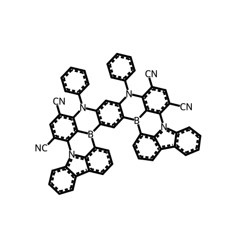 N#Cc1cc(C#N)c2c3c1N(c1ccccc1)c1cc4c(cc1B3c1cccc3c5ccccc5n-2c13)B1c2c(c(C#N)cc(C#N)c2-n2c3ccccc3c3cccc1c32)N4c1ccccc1